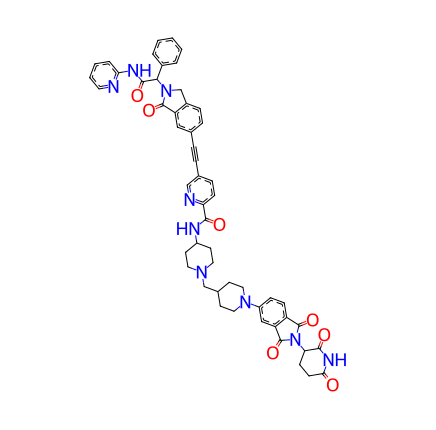 O=C1CCC(N2C(=O)c3ccc(N4CCC(CN5CCC(NC(=O)c6ccc(C#Cc7ccc8c(c7)C(=O)N(C(C(=O)Nc7ccccn7)c7ccccc7)C8)cn6)CC5)CC4)cc3C2=O)C(=O)N1